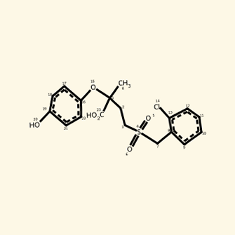 CC(CCS(=O)(=O)Cc1ccccc1Cl)(Oc1ccc(O)cc1)C(=O)O